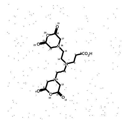 O=C(O)CCN(CCN1CC(=O)OC(=O)C1)CCN1CC(=O)OC(=O)C1